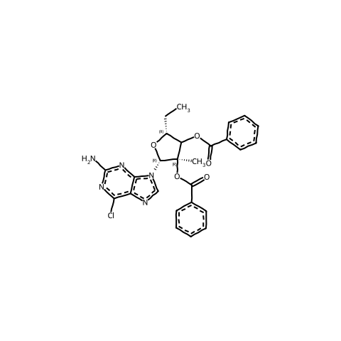 CC[C@H]1O[C@@H](n2cnc3c(Cl)nc(N)nc32)[C@](C)(OC(=O)c2ccccc2)C1OC(=O)c1ccccc1